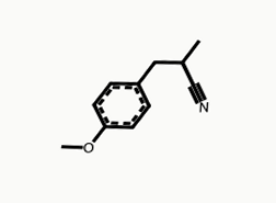 COc1ccc(CC(C)C#N)cc1